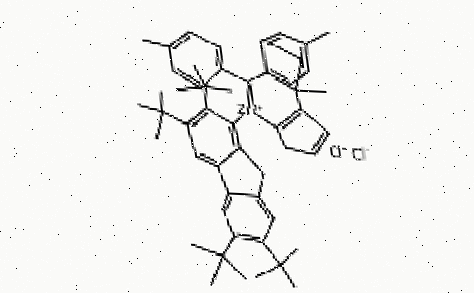 CCC(C)(C)C1=[C]([Zr+2](=[C](c2ccc(C)cc2)c2ccc(C)cc2)[c]2c3c(cc(C(C)(C)C)c2C(C)(C)C)-c2cc(C(C)(C)C)c(C(C)(C)C)cc2C3)CC=C1.[Cl-].[Cl-]